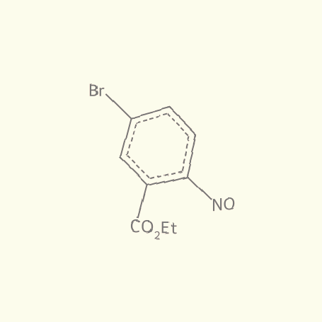 CCOC(=O)c1cc(Br)ccc1N=O